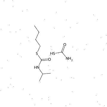 CCCCSC(=O)NC(C)C.NC(=O)S